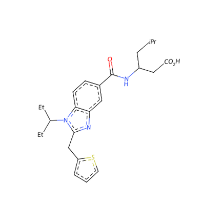 CCC(CC)n1c(Cc2cccs2)nc2cc(C(=O)NC(CC(=O)O)CC(C)C)ccc21